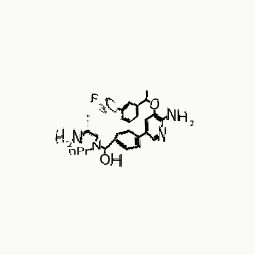 CCCN(C[C@@H](C)N)[C@H](O)c1ccc(-c2cnc(N)c(OC(C)c3cccc(C(F)(F)F)c3)c2)cc1